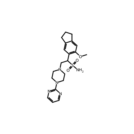 COc1cc2c(cc1C(CN1CCN(c3ncccn3)CC1)S(N)(=O)=O)CCC2